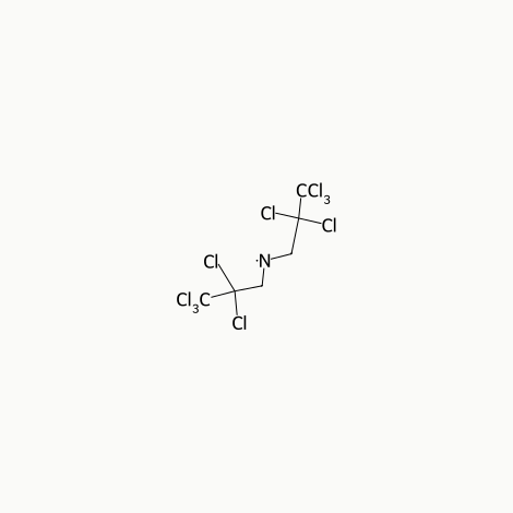 ClC(Cl)(Cl)C(Cl)(Cl)C[N]CC(Cl)(Cl)C(Cl)(Cl)Cl